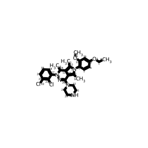 CCOc1ccc(-n2c(C)c3c(c2C)C(C)N(c2cccc(Cl)c2Cl)N=C3N2CCNCC2)c(OC)c1